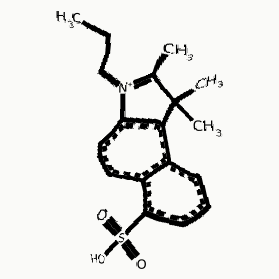 CCC[N+]1=C(C)C(C)(C)c2c1ccc1c(S(=O)(=O)O)cccc21